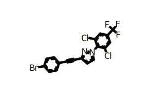 FC(F)(F)c1cc(Cl)c(-n2ccc(C#Cc3ccc(Br)cc3)n2)c(Cl)c1